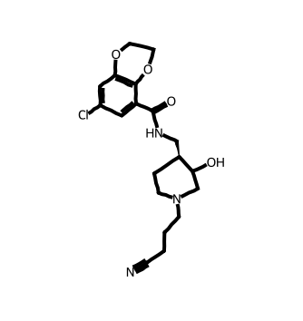 N#CCCCN1CC[C@@H](CNC(=O)c2cc(Cl)cc3c2OCCO3)C(O)C1